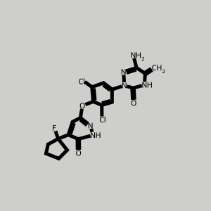 C=C1NC(=O)N(c2cc(Cl)c(Oc3cc(C4(F)CCCC4)c(=O)[nH]n3)c(Cl)c2)N=C1N